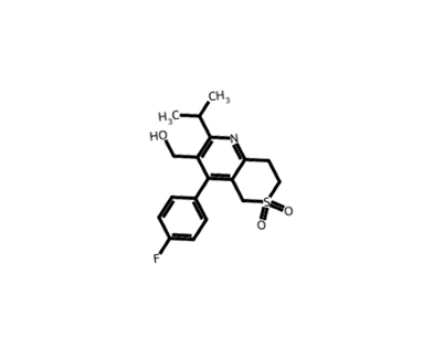 CC(C)c1nc2c(c(-c3ccc(F)cc3)c1CO)CS(=O)(=O)CC2